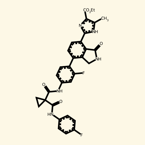 CCOC(=O)c1nc(-c2ccc(-c3ccc(NC(=O)C4(C(=O)Nc5ccc(F)cc5)CC4)cc3F)c3c2C(=O)NC3)[nH]c1C